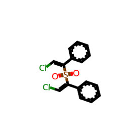 O=S(=O)(C(=CCl)c1ccccc1)C(=CCl)c1ccccc1